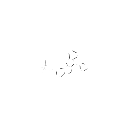 CC1(C)OB(c2ccc3ccc4c(-c5cccnc5)c5ccccc5nc4c3n2)OC1(C)C